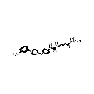 O=C(CCCCNC(=O)Nc1ccc(SN2CCN(c3cccc(C(F)(F)F)c3)CC2)cc1)NO